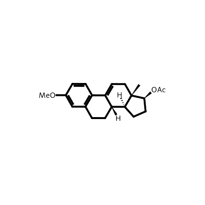 COc1ccc2c(c1)CC[C@@H]1C2=CC[C@]2(C)[C@@H](OC(C)=O)CC[C@@H]12